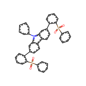 O=S(=O)(c1ccccc1)c1ccccc1-c1ccc2c3ccc(-c4ccccc4S(=O)(=O)c4ccccc4)cc3n(-c3ccccc3)c2c1